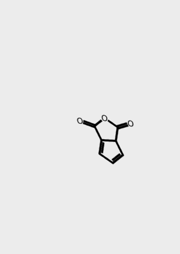 O=C1OC(=O)C2C=CC=C12